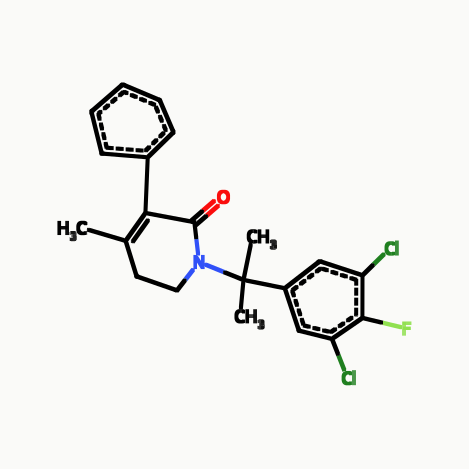 CC1=C(c2ccccc2)C(=O)N(C(C)(C)c2cc(Cl)c(F)c(Cl)c2)CC1